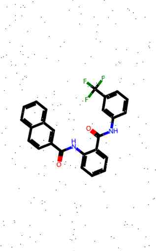 O=C(Nc1ccccc1C(=O)Nc1cccc(C(F)(F)F)c1)c1ccc2ccccc2c1